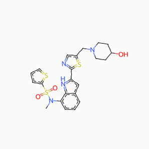 CN(c1cccc2cc(-c3ncc(CN4CCC(O)CC4)s3)[nH]c12)S(=O)(=O)c1cccs1